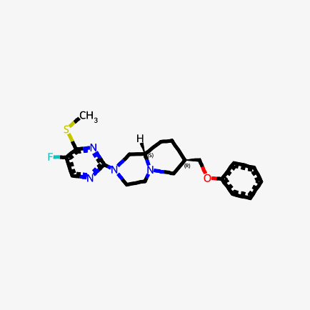 CSc1nc(N2CCN3C[C@H](COc4ccccc4)CC[C@H]3C2)ncc1F